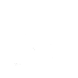 CO[C@H]1C[C@@H](C(=O)OCc2ccccc2)N(C(=O)OCc2ccccc2)C1